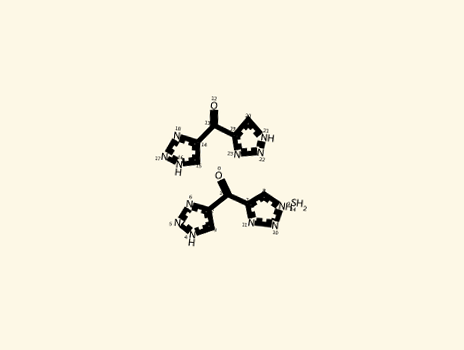 O=C(c1c[nH]nn1)c1c[nH]nn1.O=C(c1c[nH]nn1)c1c[nH]nn1.S